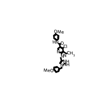 COc1ccc(CN2C=C(Cn3nc(C)c4c(Cl)c(C(=O)Nc5ccc(OC)cc5)cnc43)NN2)cc1